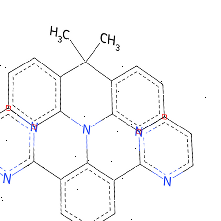 CC1(C)c2ccccc2N(c2c(-c3ncccn3)cccc2-c2ncccn2)c2ccccc21